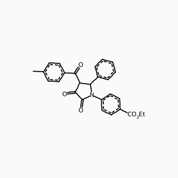 CCOC(=O)c1ccc(N2C(=O)C(=O)C(C(=O)c3ccc(C)cc3)C2c2ccccc2)cc1